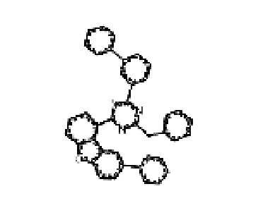 c1ccc(Cc2nc(-c3cccc(-c4ccccc4)c3)nc(-c3cccc4oc5ccc(-c6ccccc6)cc5c34)n2)cc1